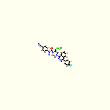 CC1CN(c2nnc(-c3ccc(F)cc3)c3ccccc23)CCN1C(=O)Nc1ccc(C#N)cc1.Cl